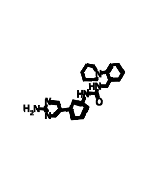 Nc1ncc(-c2cccc(NC(=O)NCc3ccccc3N3CCCCC3)c2)cn1